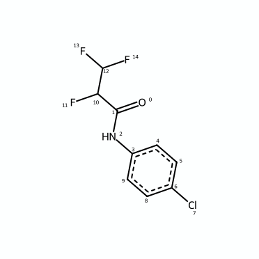 O=C(Nc1ccc(Cl)cc1)C(F)C(F)F